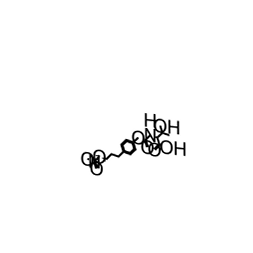 CC(O)C(NC(=O)Oc1ccc(CCCO[N+](=O)[O-])cc1)C(=O)O